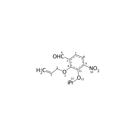 C=CCOc1c(C=O)ccc([N+](=O)[O-])c1OC(C)C